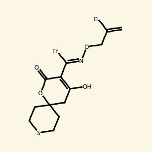 C=C(Cl)CO/N=C(\CC)C1=C(O)CC2(CCSCC2)OC1=O